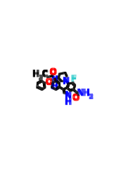 C=CC(=O)N[C@@H]1CCCN(c2c(F)cc(C(N)=O)c3[nH]cc(-c4ccc(Oc5ccccc5)cc4)c23)C1